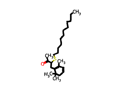 CCCCCCCCCCCCSC(CC1=C(C)C=CCC1(C)C)C(C)=O